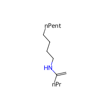 C=C(CCC)NCCCCCCCCC